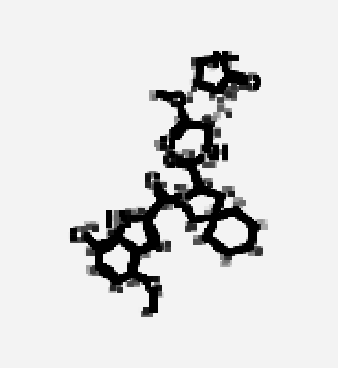 COC(=O)[C@H](C[C@@H]1CCNC1=O)NC(=O)C1CC2(CCCCC2)CN1C(=O)c1cc2c(OC)ccc(Cl)c2[nH]1